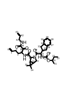 C=CCCC(NC(=O)C1C2C(CN1C(=O)C(NC(=O)OC(C)CC)C1Cc3ccccc3C1)C2(C)C)C(=O)C(=O)NCC=C